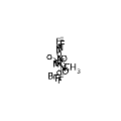 CC1Cc2c(n3ncc(Cc4ccccc4)c3n(-c3ccc(-n4ccc(C(F)(F)F)n4)cc3)c2=O)CN1C(=O)c1ccc(Br)c(C(F)(F)F)c1